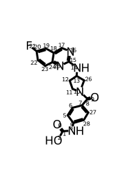 O=C(O)Nc1ccc(C(=O)N2CCC(Nc3ncc4cc(F)ccc4n3)C2)cc1